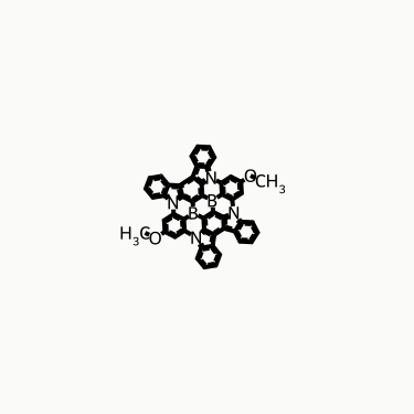 COc1cc2c3c(c1)-n1c4ccccc4c4c5c6ccccc6n6c5c5c(c41)B3c1c3c4c(c7ccccc7n4-c4cc(OC)cc-6c4B35)c3c4ccccc4n-2c13